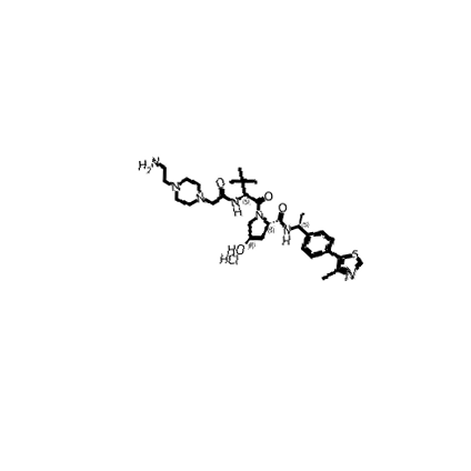 Cc1ncsc1-c1ccc([C@H](C)NC(=O)[C@@H]2C[C@@H](O)CN2C(=O)[C@@H](NC(=O)CN2CCN(CCN)CC2)C(C)(C)C)cc1.Cl